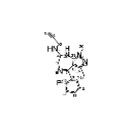 C#CCNC1CN=C(c2ccccc2F)c2c(C)nn(C)c2N1